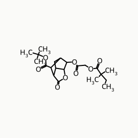 CCC(C)(C)C(=O)OCC(=O)OC1C2CC3C1OC(=O)C3C2C(=O)OC(C)(C)C